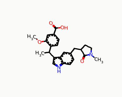 COc1cc(C(=O)O)ccc1C(C)c1c[nH]c2ccc(CC3CCN(C)C3=O)cc12